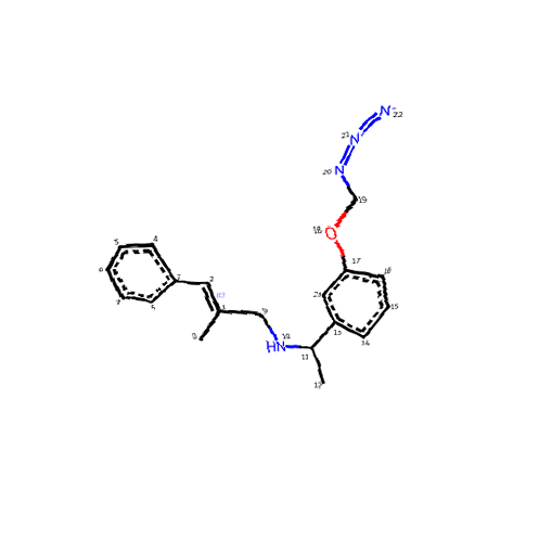 C/C(=C\c1ccccc1)CNC(C)c1cccc(OCN=[N+]=[N-])c1